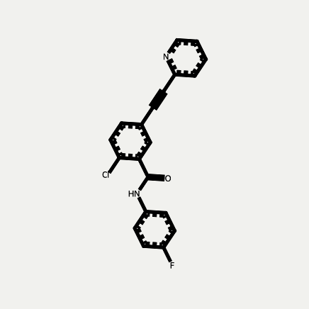 O=C(Nc1ccc(F)cc1)c1cc(C#Cc2ccccn2)ccc1Cl